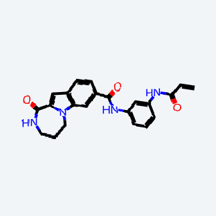 C=CC(=O)Nc1cccc(NC(=O)c2ccc3cc4n(c3c2)CCCNC4=O)c1